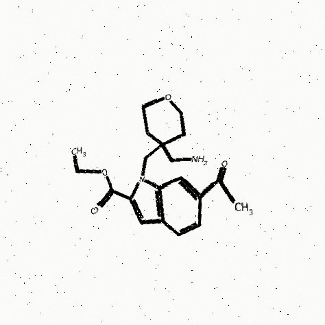 CCOC(=O)c1cc2ccc(C(C)=O)cc2n1CC1(CN)CCOCC1